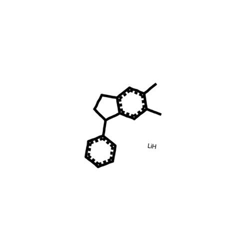 Cc1cc2c(cc1C)C(c1ccccc1)CC2.[LiH]